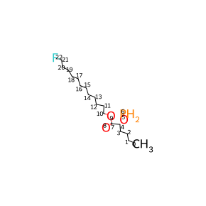 CCCCC(OP)C(=O)OCCCCCCCCCCCCF